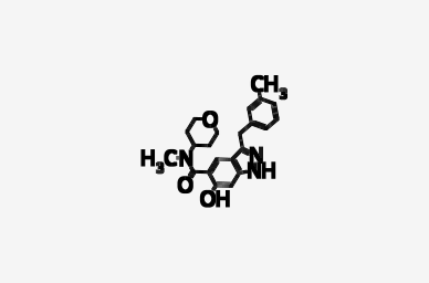 Cc1cccc(Cc2n[nH]c3cc(O)c(C(=O)N(C)C4CCOCC4)cc23)c1